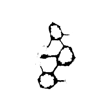 N#Cc1c(-c2c(Cl)cccc2Cl)cccc1-c1c(Cl)cccc1Cl